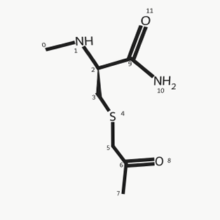 CN[C@H](CSCC(C)=O)C(N)=O